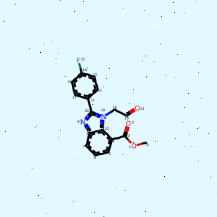 COC(=O)c1cccc2nc(-c3ccc(F)cc3)n(CC=O)c12